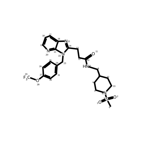 CS(=O)(=O)N1CCC(CNC(=O)CCc2nc3cccnc3n2Cc2ccc(OC(F)(F)F)cc2)CC1